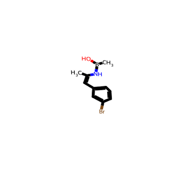 CB(O)NC(C)=Cc1cccc(Br)c1